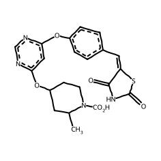 CC1CC(Oc2cc(Oc3ccc(C=C4SC(=O)NC4=O)cc3)ncn2)CCN1C(=O)O